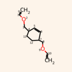 C=COCC1C=CC(COC=C)CC1